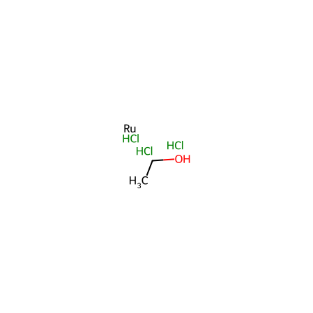 CCO.Cl.Cl.Cl.[Ru]